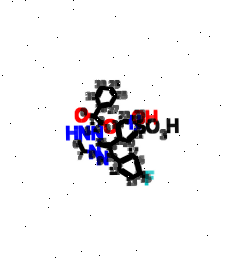 O=C(C(=O)N1NCCn2nc(-c3ccc(F)cc3)c(-c3ccncc3)c21)c1ccccc1.O=S(=O)(O)O